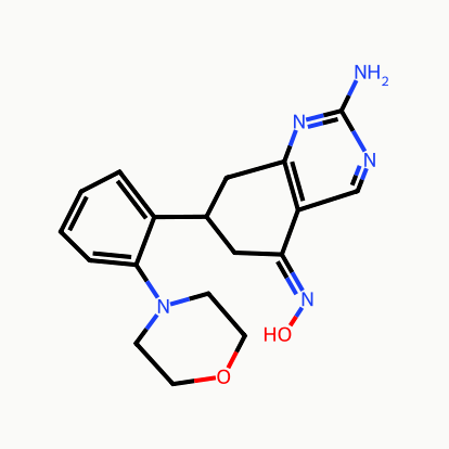 Nc1ncc2c(n1)CC(c1ccccc1N1CCOCC1)C/C2=N\O